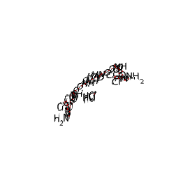 CC(C)[C@@H](COCCOCCNC(=O)NCCCCNC(=O)NCCOCCOC[C@@H](NS(=O)(=O)c1ccc(O[C@H]2c3cc(Cl)cc(Cl)c3C[C@@H]2N2CCC[C@@H](N)C2)cc1)C(C)C)NS(=O)(=O)c1ccc(O[C@H]2c3cc(Cl)cc(Cl)c3C[C@@H]2N2CCC[C@@H](N)C2)cc1.Cl.Cl